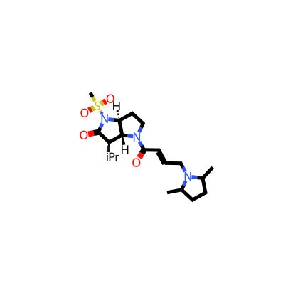 CC(C)[C@H]1C(=O)N(S(C)(=O)=O)[C@H]2CCN(C(=O)/C=C/CN3C(C)CCC3C)[C@H]12